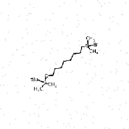 CC(C)(C)[Si](C)(C)OCCCCCCCC[Si](C)(C)Br